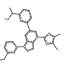 Cc1nc(-c2cc(-c3cccc(C(C)N)n3)cc3c2cnn3-c2cccc(CO)n2)sc1C